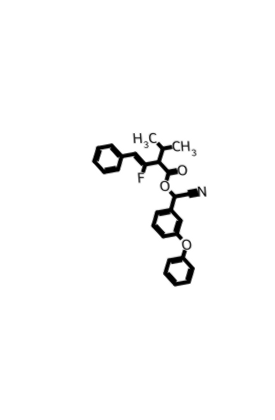 CC(C)C(C(=O)OC(C#N)c1cccc(Oc2ccccc2)c1)C(F)=Cc1ccccc1